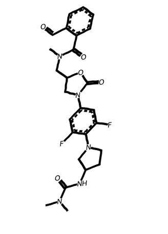 CN(C)C(=O)NC1CCN(c2c(F)cc(N3CC(CN(C)C(=O)c4ccccc4C=O)OC3=O)cc2F)C1